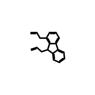 C=CCc1cccc2c1C(CC=C)c1ccccc1-2